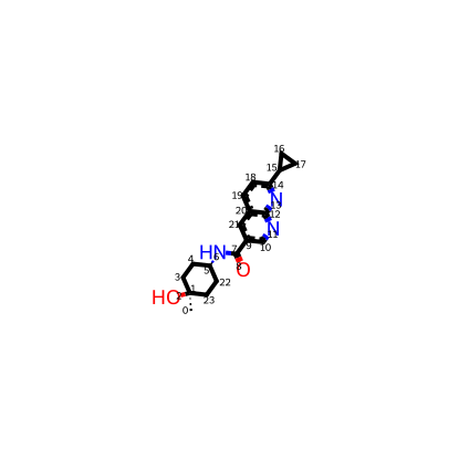 C[C@]1(O)CC[C@H](NC(=O)c2cnc3nc(C4CC4)ccc3c2)CC1